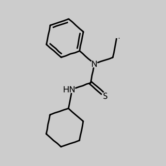 [CH2]CN(C(=S)NC1CCCCC1)c1ccccc1